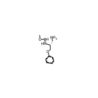 COBN[C@H](CN)COc1ccccc1